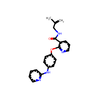 C=C(C)CNC(=O)c1cccnc1Oc1ccc(Nc2ccccn2)cc1